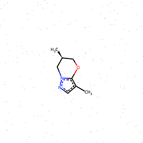 Cc1cnn2c1OC[C@H](C)C2